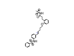 CS(=O)(=O)NC(=O)CCc1ccccc1OCCC/C=C/c1cccc(NS(=O)(=O)c2ccccc2)c1